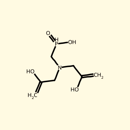 C=C(O)CN(CC(=C)O)C[PH](=O)O